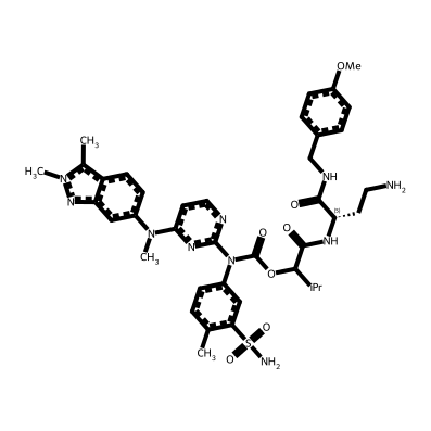 COc1ccc(CNC(=O)[C@H](CCN)NC(=O)C(OC(=O)N(c2ccc(C)c(S(N)(=O)=O)c2)c2nccc(N(C)c3ccc4c(C)n(C)nc4c3)n2)C(C)C)cc1